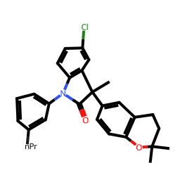 CCCc1cccc(N2C(=O)C(C)(c3ccc4c(c3)CCC(C)(C)O4)c3cc(Cl)ccc32)c1